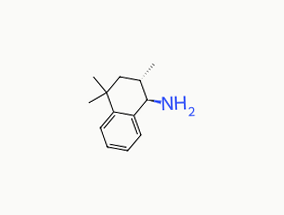 C[C@H]1CC(C)(C)c2ccccc2[C@@H]1N